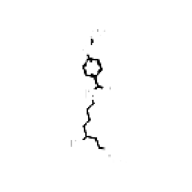 CCCCOCCC(CCC)CCCCNC(=O)c1ccc(OCOC)cc1